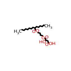 CCCCCCCCC(CCCCCC)C(=O)OCCCCOC(=O)[C@@H](O)CC(=O)O